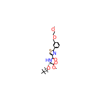 COCCOCc1cccc(-c2nc(C(=O)N[C@@H](CO[Si](C)(C)C(C)(C)C)C(=O)OC)cs2)c1